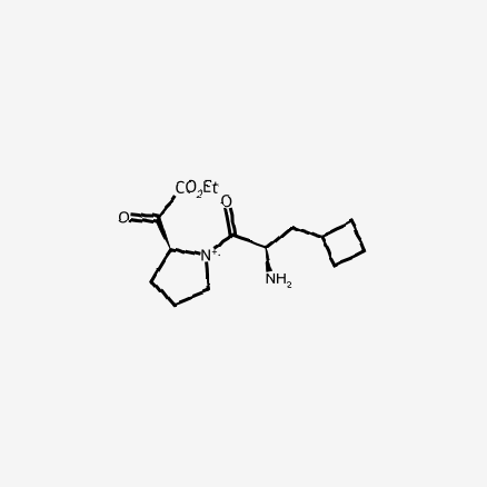 CCOC(=O)C(=O)[C@@H]1CCC[N+]1C(=O)[C@H](N)CC1CCC1